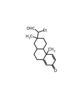 CCC(C=O)C1(C)CCC2C(CCC3=CC(=O)C=CC32C)C1